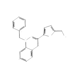 OCc1ccc(C2=NN(Cc3ccccc3)c3ccccc3C2)o1